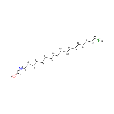 O=C=NCCCCCCCCCCCCCCCCCCF